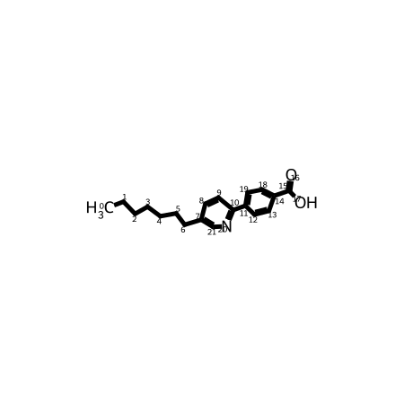 CCCCCCCc1ccc(-c2ccc(C(=O)O)cc2)nc1